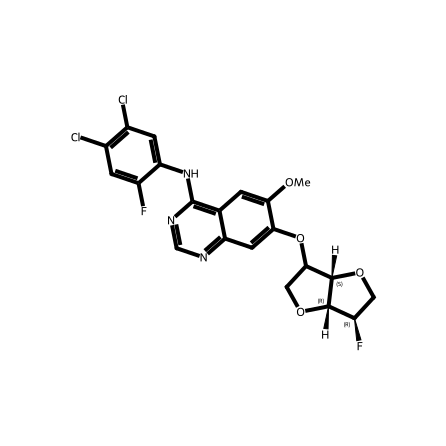 COc1cc2c(Nc3cc(Cl)c(Cl)cc3F)ncnc2cc1OC1CO[C@H]2[C@H](F)CO[C@@H]12